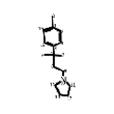 Cc1ccc(C(C)(C)CCN2CCCC2)cc1